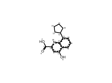 O=C(O)c1cc(O)c2cccc(C3CCCC3)c2n1